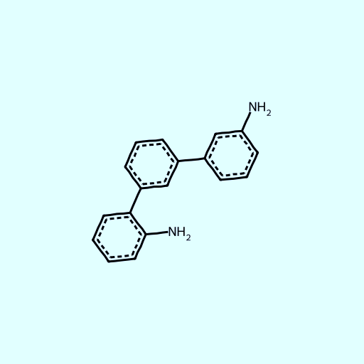 Nc1cccc(-c2cccc(-c3ccccc3N)c2)c1